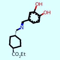 CCOC(=O)[C@H]1CC[C@H](CN=Cc2ccc(O)c(O)c2)CC1